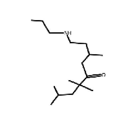 CCCNCCC(C)CC(=O)C(C)(C)CC(C)C